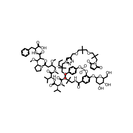 CCC(C)[C@@H](C(CC(=O)N1CCC[C@H]1C(OC)C(C)C(=O)NC(Cc1ccccc1)C(=O)O)OC)N(C)C(=O)[C@@H](NC(=O)[C@H](C(C)C)N(C)C(=O)OCc1ccc(OS(=O)(=O)Oc2cc(C(=O)NCC(C)(C)COCC(C)(C)Cn3cc(COCC(C)(C)COCC(C)(C)CN4C(=O)C=CC4=O)nn3)ccc2OC2C[C@@H](O)[C@@H](O)C(CO)O2)cc1)C(C)C